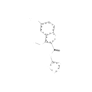 COc1ccc2sc(C(=O)Nc3nnn[nH]3)c(SC(C)C)c2c1